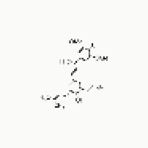 COc1cc(C(C)/C=C/c2cc(CC=C(C)C)c(O)c(CCC(C)C)c2)cc(OC)c1O